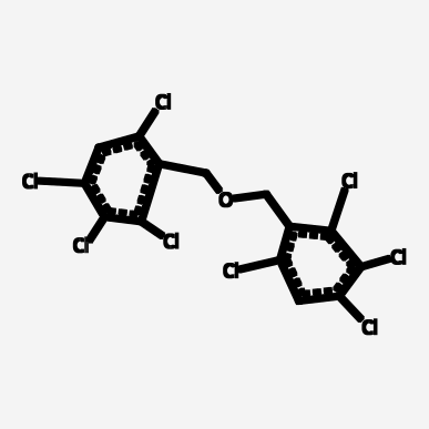 Clc1cc(Cl)c(COCc2c(Cl)cc(Cl)c(Cl)c2Cl)c(Cl)c1Cl